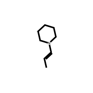 CC=CN1C[CH]CCC1